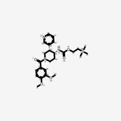 COc1ccc(C(=O)N2CC[C@@H](NC(=O)OCC[Si](C)(C)C)[C@@H](c3cccnc3)C2)cc1OC